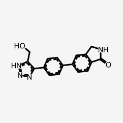 O=C1NCc2cc(-c3ccc(-c4nn[nH]c4CO)cc3)ccc21